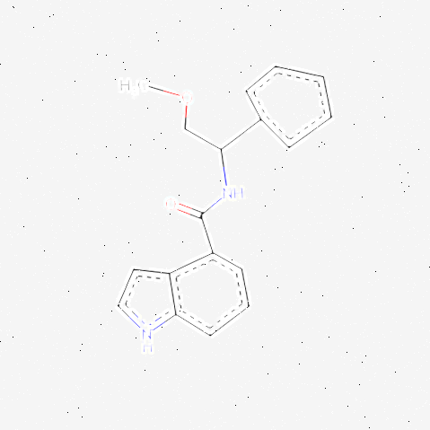 COCC(NC(=O)c1cccc2[nH]ccc12)c1ccccc1